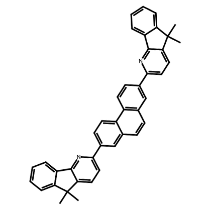 CC1(C)c2ccccc2-c2nc(-c3ccc4c(ccc5cc(-c6ccc7c(n6)-c6ccccc6C7(C)C)ccc54)c3)ccc21